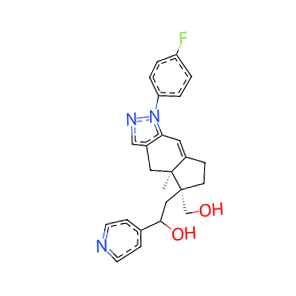 C[C@]12Cc3cnn(-c4ccc(F)cc4)c3C=C1CC[C@@]2(CO)CC(O)c1ccncc1